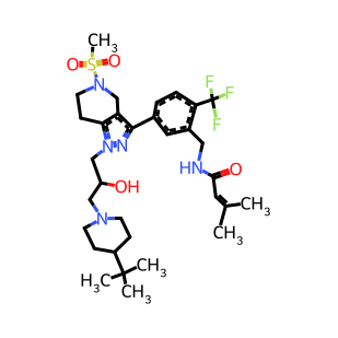 CC(C)=CC(=O)NCc1cc(-c2nn(CC(O)CN3CCC(C(C)(C)C)CC3)c3c2CN(S(C)(=O)=O)CC3)ccc1C(F)(F)F